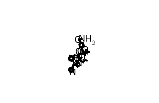 CC[C@H](C)[C@@H](C(=O)N[C@@H](Cc1ccccc1)[C@H](O)CN(CC(C)C)S(=O)(=O)c1ccc(C(N)=O)cc1)N1CCN(Cc2cccnc2)C1=O